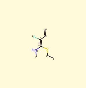 C=C/C(F)=C(/NC)SCC